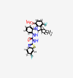 CCC1(CC)CN(c2ccccc2NC(=O)Nc2nc3ccc(F)cc3s2)c2c(O)ccc(F)c21